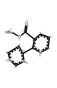 CCCCOC(=O)c1cccnc1-c1ccncn1